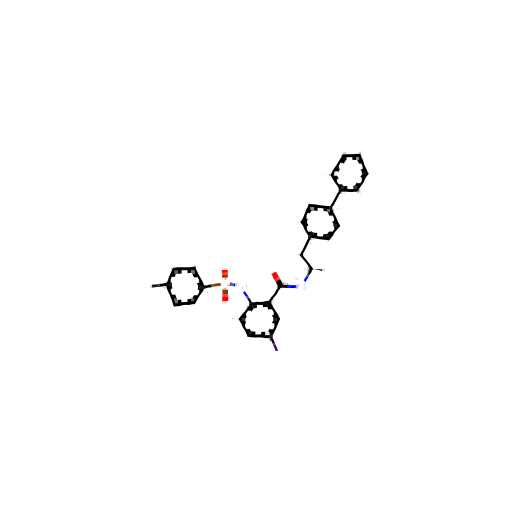 CC(C)(C)c1ccc(S(=O)(=O)Nc2ccc(I)cc2C(=O)N[C@@H](Cc2ccc(-c3ccccc3)cc2)C(=O)O)cc1